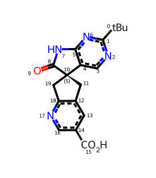 CC(C)(C)c1ncc2c(n1)NC(=O)[C@]21Cc2cc(C(=O)O)cnc2C1